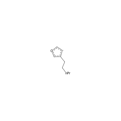 CCCCCc1[c]coc1